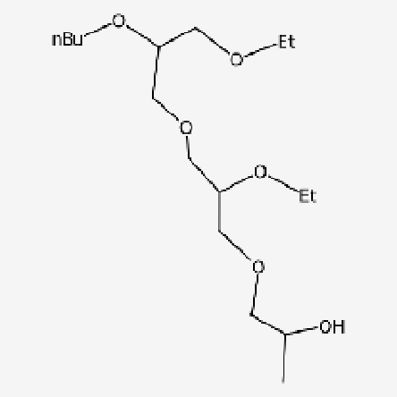 CCCCOC(COCC)COCC(COCC(C)O)OCC